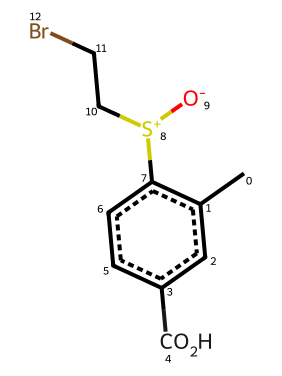 Cc1cc(C(=O)O)ccc1[S+]([O-])CCBr